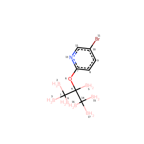 BC(B)(B)C(B)(Oc1ccc(Br)cn1)C(B)(B)B